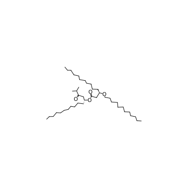 CCCCCCCCCCCCO[C@H](CCCCCCCCCCC)CC(=O)O[C@H](CCCCCCCCCCC)CC(=O)C(C)C